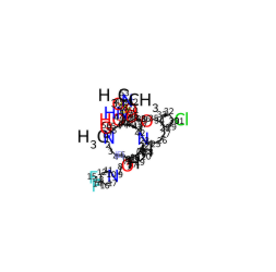 CN1CC/C=C/[C@H](OCCN2CCC(F)(F)CC2)[C@@H]2CC[C@H]2CN2CCCCc3cc(Cl)ccc3COc3ccc(cc32)[C@@](O)(C(=O)NS(=O)(=O)N(C)C)CC1=O